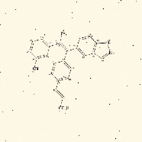 CC/C(=C(/c1ccc(/C=C/C(=O)O)cc1)c1ccc2[nH]ncc2c1)c1cccc(C#N)c1